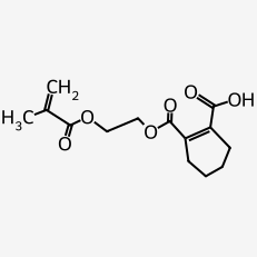 C=C(C)C(=O)OCCOC(=O)C1=C(C(=O)O)CCCC1